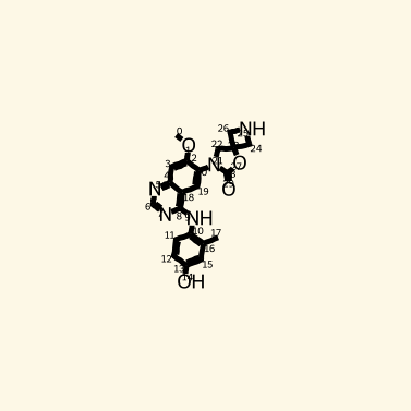 COc1cc2ncnc(Nc3ccc(O)cc3C)c2cc1N1CC2(CNC2)OC1=O